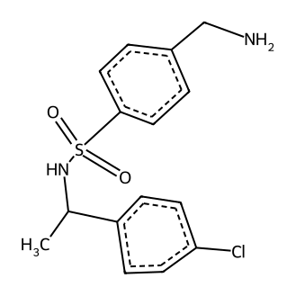 CC(NS(=O)(=O)c1ccc(CN)cc1)c1ccc(Cl)cc1